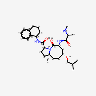 CN[C@@H](C)C(=O)N[C@H]1C[C@H](OCC(C)C)CC[C@H]2CC[C@@H](C(=O)N[C@@H]3CCCc4ccccc43)N2C1=O